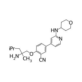 CC(C)CC(C)(N)COc1ccc(-c2ccnc(NC3CCOCC3)c2)cc1C#N